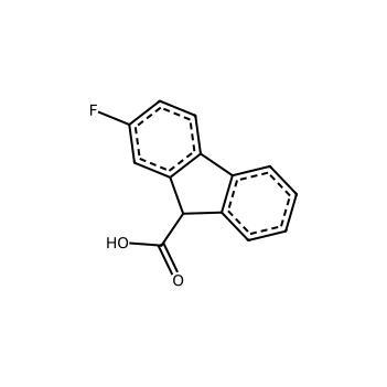 O=C(O)C1c2ccccc2-c2ccc(F)cc21